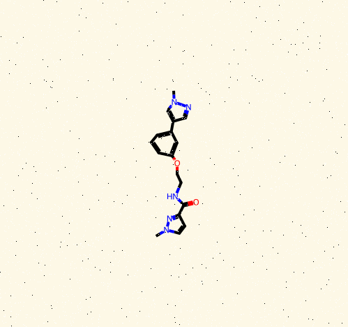 Cn1cc(-c2c[c]cc(OCCNC(=O)c3ccn(C)n3)c2)cn1